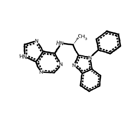 C[C@@H](Nc1ncnc2[nH]cnc12)c1nc2ccccc2n1-c1ccccc1